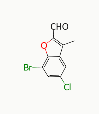 Cc1c(C=O)oc2c(Br)cc(Cl)cc12